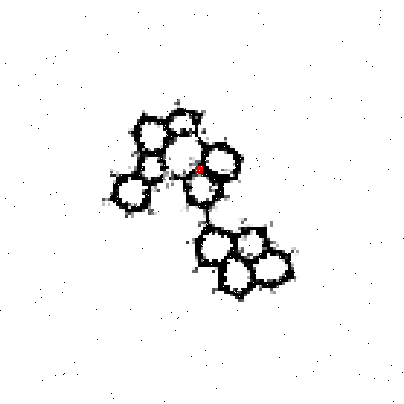 c1ccc(-n2ccc3ccc4c5ccccc5n(-c5cccc(-c6ccc7ccc8cccc9ccc6c7c89)c5)c4c32)cc1